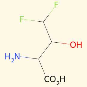 NC(C(=O)O)C(O)C(F)F